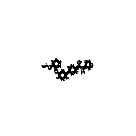 CCOc1cccnc1Oc1cncc(-c2ncc(C(=O)NC3CCOC3)nn2)c1